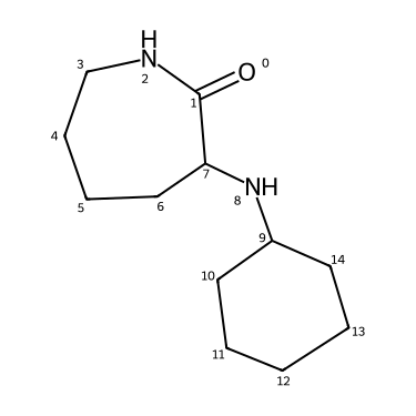 O=C1NCCCCC1NC1CCCCC1